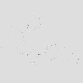 C=CC(F)(F)Oc1ccc(-c2noc(CC(NC(=O)c3ccc(Cl)cc3)[C@@H](C)O)n2)cc1